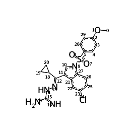 COc1ccc(S(=O)(=O)n2cc(C(=NNC(=N)N)C3CC3)c3cc(Cl)ccc32)cc1